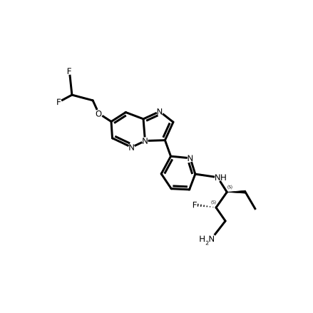 CC[C@H](Nc1cccc(-c2cnc3cc(OCC(F)F)cnn23)n1)[C@@H](F)CN